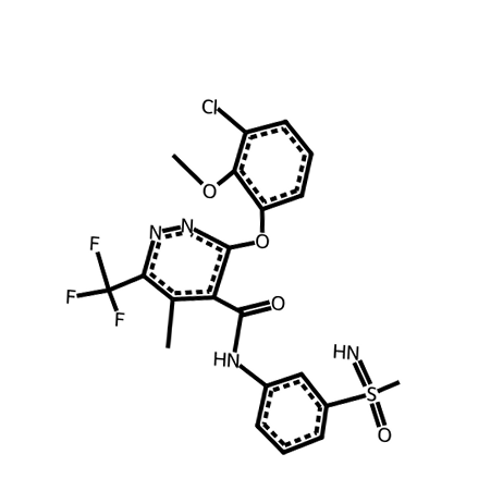 COc1c(Cl)cccc1Oc1nnc(C(F)(F)F)c(C)c1C(=O)Nc1cccc(S(C)(=N)=O)c1